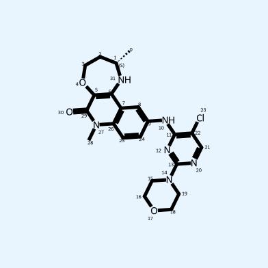 C[C@H]1CCOc2c(c3cc(Nc4nc(N5CCOCC5)ncc4Cl)ccc3n(C)c2=O)N1